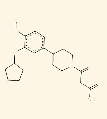 COc1ccc(C2CCN(C(=O)CC(N)=O)CC2)cc1OC1CCCC1